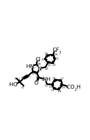 CC(C)(O)C#CC1=C(C(=O)NCc2ccc(C(=O)O)cc2)N(Cc2ccc(C(F)(F)F)cc2)C(Cl)N1